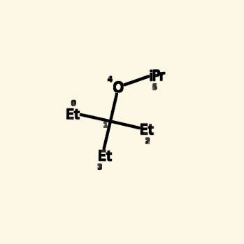 CCC(CC)(CC)OC(C)C